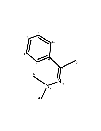 C/C(=N/N(C)C)c1ccccc1